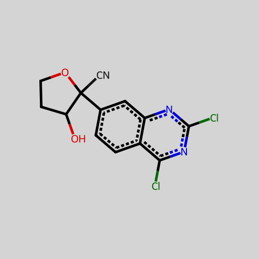 N#CC1(c2ccc3c(Cl)nc(Cl)nc3c2)OCCC1O